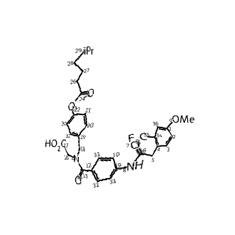 COc1ccc(CC(=O)Nc2ccc(C(=O)N(CC(=O)O)Cc3ccc(OC(=O)CCCC(C)C)cc3)cc2)c(C(F)(F)F)c1